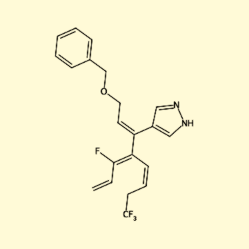 C=C/C(F)=C(\C=C/CC(F)(F)F)C(=C/COCc1ccccc1)/c1cn[nH]c1